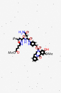 COC(=O)CCCCC(=O)NC(/C=C/C(C)C)C(=O)N[C@@H](CCC(N)=O)C(=O)Nc1ccc(COC(=O)N2CC3Cc4ccccc4N3C(=O)c3cc(OC)c(O)cc32)cc1